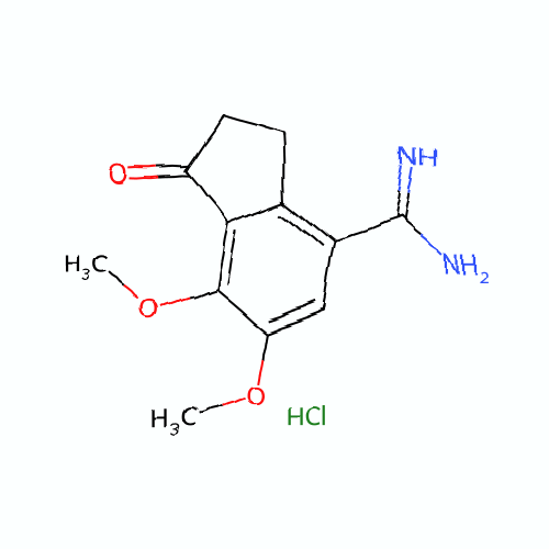 COc1cc(C(=N)N)c2c(c1OC)C(=O)CC2.Cl